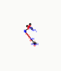 NC1C=CC(CC(NC(=O)OCCCc2cn(CCOCCOCCOCCNC(=O)CCCC[C@@H]3SC[C@@H]4NC(=O)N[C@@H]43)nn2)P(=O)(Oc2ccccc2)Oc2ccccc2)=CC1